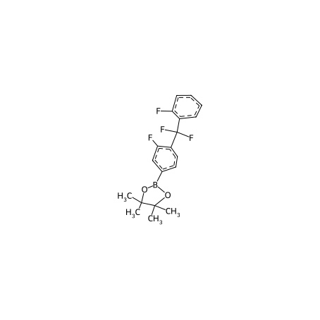 CC1(C)OB(c2ccc(C(F)(F)c3ccccc3F)c(F)c2)OC1(C)C